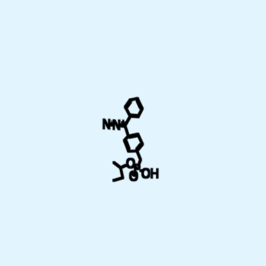 CCC(C)OP(=O)(O)Cc1ccc(C(=[N+]=[N-])c2ccccc2)cc1